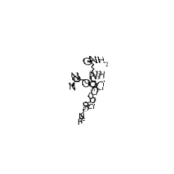 N#Cc1cncc(COc2cc(O[C@H]3CCc4c(-c5cccc(OCCCN6CC(F)(F)C6)c5Cl)cccc43)c(Cl)cc2CNCCCCC(N)=O)c1